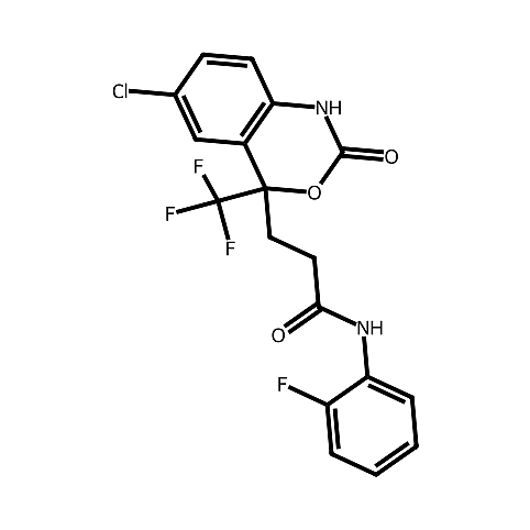 O=C(CCC1(C(F)(F)F)OC(=O)Nc2ccc(Cl)cc21)Nc1ccccc1F